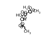 CCCCC(=O)OC(CC)[C@H]1CCC2C(O)c3c(cc(-c4ccc(OC)c(OC)c4)oc3=O)O[C@H]2C1